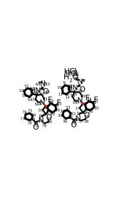 CN(C)C(=O)NC1(c2ccccc2)CCN(CCC2(c3ccc(F)c(F)c3)CN(C(=O)c3ccccc3)CCO2)CC1.CN(C)C(=O)NC1(c2ccccc2)CCN(CCC2(c3ccc(F)c(F)c3)CN(C(=O)c3ccccc3)CCO2)CC1.Cl.Cl.O